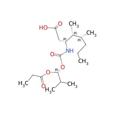 CCC[C@@H](C)[C@@H](C)[C@@H](CC(=O)O)NC(=O)O[C@@H](OC(=O)CC)C(C)C